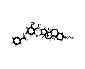 COc1ccc2c(c1)CC[C@@H]1[C@@H]2CC[C@]2(C)[C@@H](O)[C@H](N(C)c3ccc(OC(=O)c4ccccc4)cc3O)C[C@@H]12